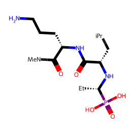 CC[C@H](N[C@@H](CC(C)C)C(=O)N[C@@H](CCCN)C(=O)NC)P(=O)(O)O